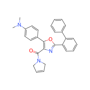 CN(C)c1ccc(-c2oc(-c3ccccc3-c3ccccc3)nc2C(=O)N2CC=CC2)cc1